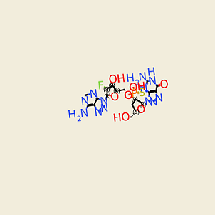 Nc1nc2c(nnn2[C@@H]2O[C@H](CO)C[C@H]2P(O)(=S)OC[C@H]2O[C@@H](n3nnc4c(N)ncnc43)[C@@H](F)[C@@H]2O)c(=O)[nH]1